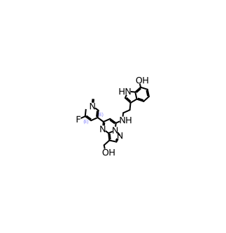 C=N/C=C(\C=C(/C)F)c1cc(NCCc2c[nH]c3c(O)cccc23)n2ncc(CO)c2n1